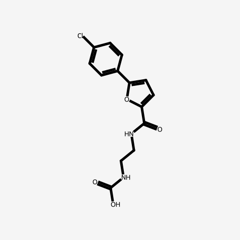 O=C(O)NCCNC(=O)c1ccc(-c2ccc(Cl)cc2)o1